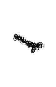 CNC1C(OP(=O)(OC)Oc2ccc(COC(=O)Oc3ccc([N+](=O)[O-])cc3)cc2)[C@@H](COC)O[C@H]1n1ccc(=O)[nH]c1=O